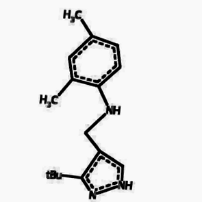 Cc1ccc(NCc2c[nH]nc2C(C)(C)C)c(C)c1